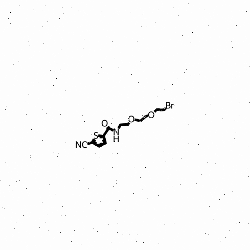 N#Cc1ccc(C(=O)NCCOCCOCCBr)s1